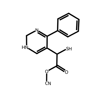 N#COC(=O)C(S)C1=CNCN=C1c1ccccc1